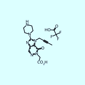 CC#CCn1c(N2CCNCC2)nc2cnn(CC(=O)O)c(=O)c21.O=C(O)C(F)(F)F